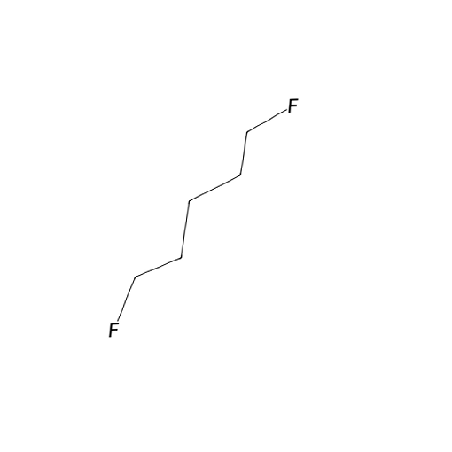 FCCCCCF